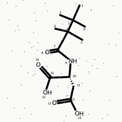 CC(C)(C)C(C)(C)C(=O)N[C@H](CC(=O)O)C(=O)O